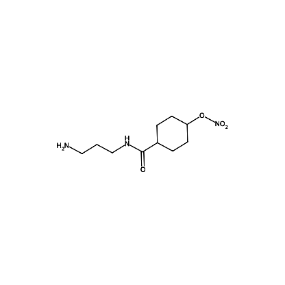 NCCCNC(=O)C1CCC(O[N+](=O)[O-])CC1